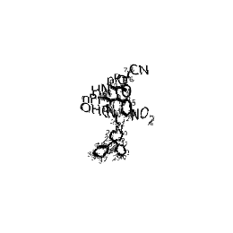 CCCC1=C(C(=O)OCCC#N)C(c2ccc([N+](=O)[O-])cc2)C(N(C=O)CCCN2CCC(c3ccccc3)(c3ccccc3)CC2)=C(CCC)N1